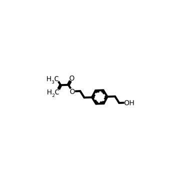 C=C(C)C(=O)OCCc1ccc(CCO)cc1